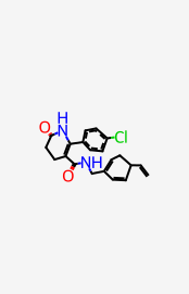 C=CC1C=CC(CNC(=O)C2=C(c3ccc(Cl)cc3)NC(=O)CC2)=CC1